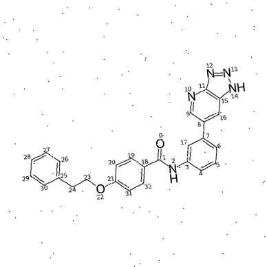 O=C(Nc1cccc(-c2cnc3nn[nH]c3c2)c1)c1ccc(OCCc2ccccc2)cc1